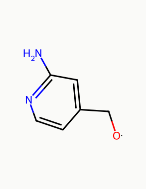 Nc1cc(C[O])ccn1